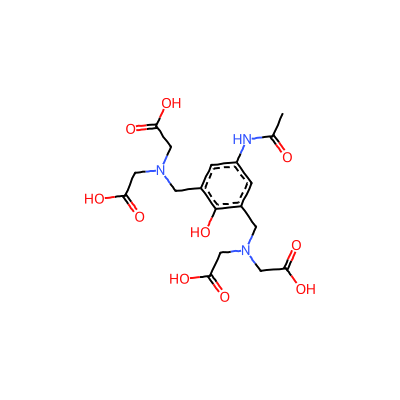 CC(=O)Nc1cc(CN(CC(=O)O)CC(=O)O)c(O)c(CN(CC(=O)O)CC(=O)O)c1